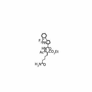 CCOC(=O)/C(=C/CCCC(N)=O)N(NC(=O)c1ccc(-c2ccccc2C(F)(F)F)[nH]1)C(C)=O